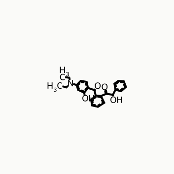 CCN(CC)c1ccc(C(=O)c2ccccc2C(=O)C(O)c2ccccc2)c(O)c1